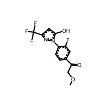 COCC(=O)c1ccc(-n2nc(C(F)(F)F)cc2O)c(F)c1